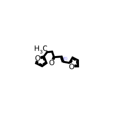 CC(CC(=O)/C=C/c1ccco1)c1ccco1